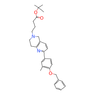 Cc1cc(-c2ccc3c(n2)CCN(CCCC(=O)OC(C)(C)C)C3)ccc1OCc1ccccc1